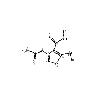 CNC(=O)c1c(CC(N)=O)coc1NC